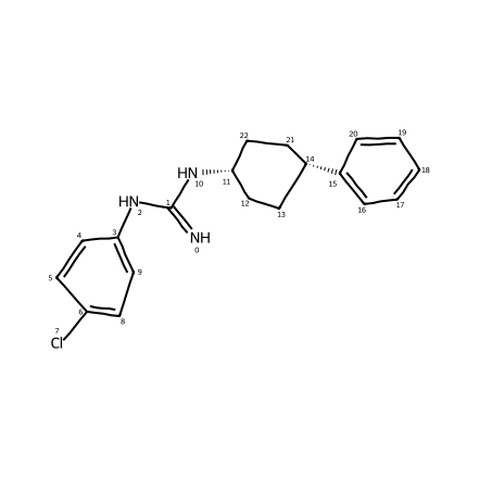 N=C(Nc1ccc(Cl)cc1)N[C@H]1CC[C@@H](c2ccccc2)CC1